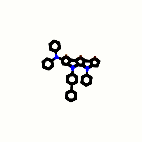 c1ccc(-c2ccc(-n3c4cc(N(c5ccccc5)c5ccccc5)sc4c4sc5c6sccc6n(-c6ccccc6)c5c43)cc2)cc1